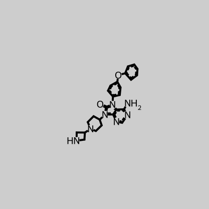 Nc1ncnc2c1n(-c1ccc(Oc3ccccc3)cc1)c(=O)n2C1CCN(C2CNC2)CC1